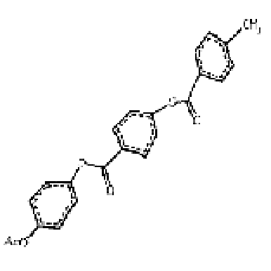 CC(=O)Oc1ccc(OC(=O)c2ccc(OC(=O)c3ccc(C)cc3)cc2)cc1